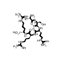 CC(C)[C@H](N)C(=O)N[C@@H](CO)C(=O)N[C@@H](CCCNC(=N)N)C(=O)N[C@@H](CCCNC(=N)N)C(=O)N[C@@H](CCCNC(=N)N)C(=O)O